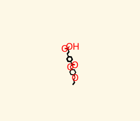 C=CCOC1CCC(OC(=O)c2ccc(C=CC(=O)O)cc2)CC1